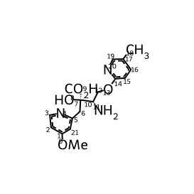 COc1ccnc(C[C@](O)(C(=O)O)[C@@H](N)COc2ccc(C)cn2)c1